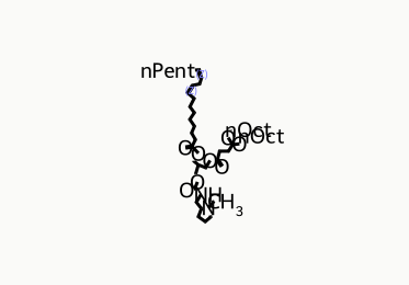 CCCCC/C=C\C/C=C\CCCCCCCC(=O)OCC(COC(=O)CCC(OCCCCCCCC)OCCCCCCCC)COC(=O)NCC1CCCN1C